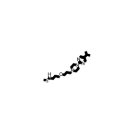 CSNCCCOCCCN1CCN(c2ncc(C(C)C)cn2)CC1